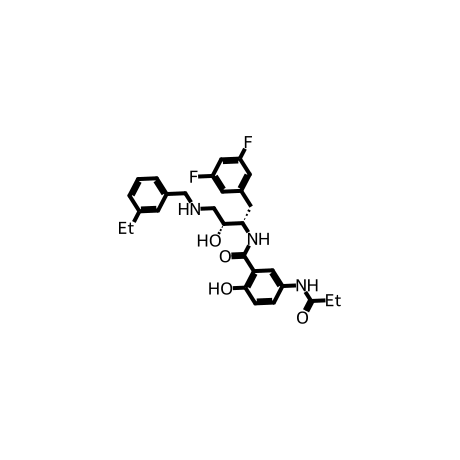 CCC(=O)Nc1ccc(O)c(C(=O)N[C@@H](Cc2cc(F)cc(F)c2)[C@H](O)CNCc2cccc(CC)c2)c1